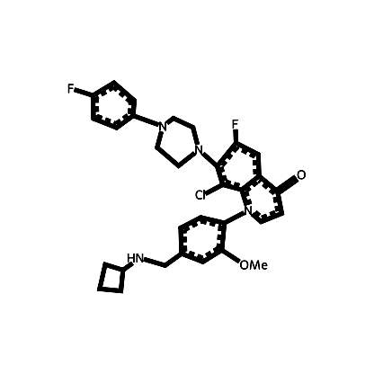 COc1cc(CNC2CCC2)ccc1-n1ccc(=O)c2cc(F)c(N3CCN(c4ccc(F)cc4)CC3)c(Cl)c21